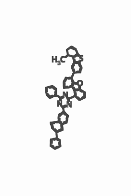 CC1CC=Cc2sc3ccc(-c4cccc5c4oc4cccc(-c6nc(-c7ccccc7)nc(-c7ccc8cc(-c9ccccc9)ccc8c7)n6)c45)cc3c21